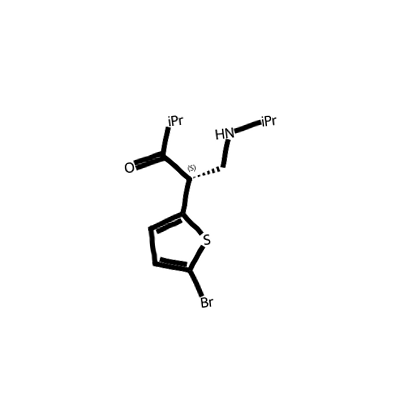 CC(C)NC[C@@H](C(=O)C(C)C)c1ccc(Br)s1